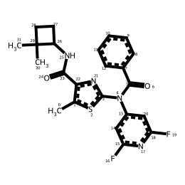 Cc1sc(N(C(=O)c2ccccc2)c2cc(F)nc(F)c2)nc1C(=O)NC1CCC1(C)C